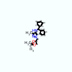 Cc1nn(CC2COC(C)(C)O2)cc1NC(c1ccccc1)c1ccccc1